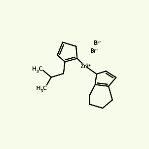 CC(C)CC1=[C]([Zr+2][CH]2C=CC3=C2CCCC3)CC=C1.[Br-].[Br-]